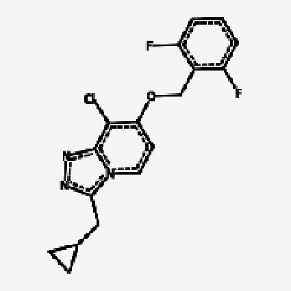 Fc1cccc(F)c1COc1ccn2c(CC3CC3)nnc2c1Cl